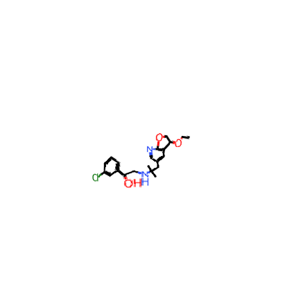 CCOC1COc2ncc(CC(C)(C)NCC(O)c3cccc(Cl)c3)cc21